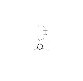 CC(C)(ON)C(=O)NNC(=O)c1cc(O)c(O)c(Cl)c1.Cl